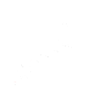 CCCCC(C)CCCCCOc1ccc(O)cc1